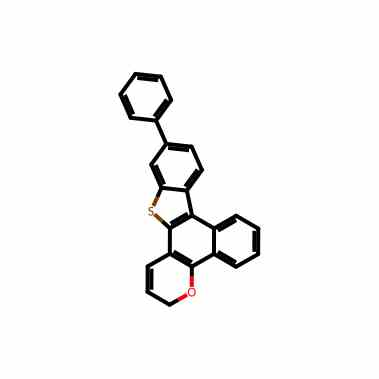 C1=Cc2c(c3ccccc3c3c2sc2cc(-c4ccccc4)ccc23)OC1